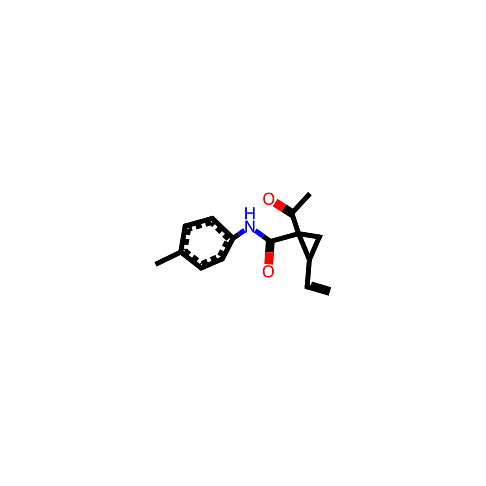 C=CC1CC1(C(C)=O)C(=O)Nc1ccc(C)cc1